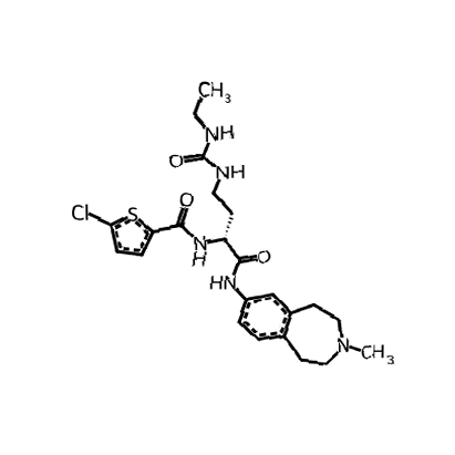 CCNC(=O)NCC[C@@H](NC(=O)c1ccc(Cl)s1)C(=O)Nc1ccc2c(c1)CCN(C)CC2